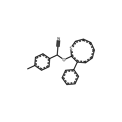 Cc1ccc(C(C#N)Oc2sccccccc2-c2ccccc2)cc1